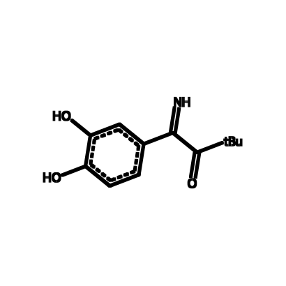 CC(C)(C)C(=O)C(=N)c1ccc(O)c(O)c1